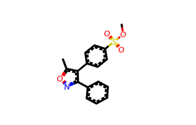 COS(=O)(=O)c1ccc(-c2c(-c3ccccc3)noc2C)cc1